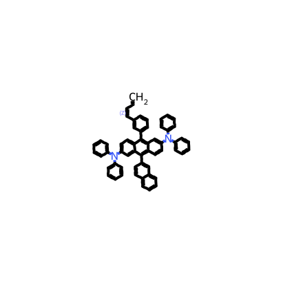 C=C/C=C\c1cccc(-c2c3ccc(N(c4ccccc4)c4ccccc4)cc3c(-c3ccc4ccccc4c3)c3ccc(N(c4ccccc4)c4ccccc4)cc23)c1